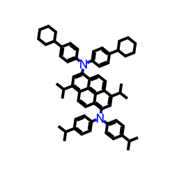 CC(C)c1ccc(N(c2ccc(C(C)C)cc2)c2cc(C(C)C)c3ccc4c(N(c5ccc(C6CCCCC6)cc5)c5ccc(C6CCCCC6)cc5)cc(C(C)C)c5ccc2c3c54)cc1